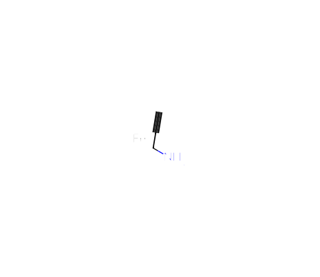 C#CCN.[Fe]